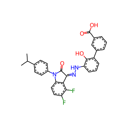 CC(C)c1ccc(N2C(=O)C(=NNc3cccc(-c4cccc(C(=O)O)c4)c3O)c3c2ccc(F)c3F)cc1